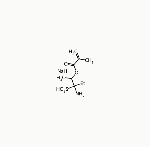 C=C(C)C(=O)OC(C)C(N)(CC)S(=O)(=O)O.[NaH]